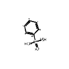 O=P(O)(S)c1ccccc1